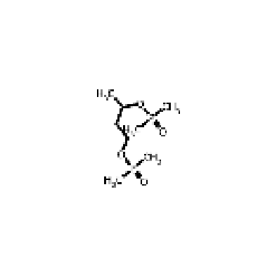 CC(CCOP(C)(C)=O)OP(C)(C)=O